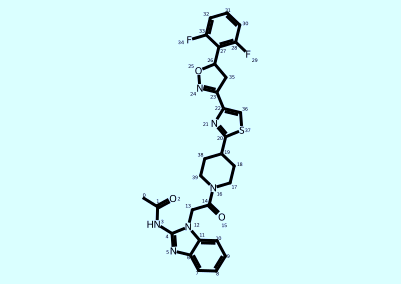 CC(=O)Nc1nc2ccccc2n1CC(=O)N1CCC(c2nc(C3=NOC(c4c(F)cccc4F)C3)cs2)CC1